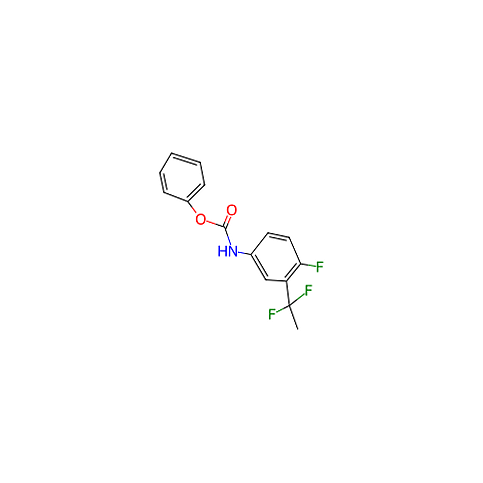 CC(F)(F)c1cc(NC(=O)Oc2ccccc2)ccc1F